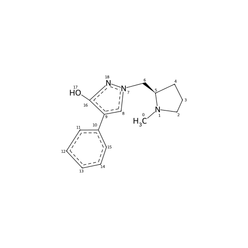 CN1CCC[C@@H]1Cn1cc(-c2ccccc2)c(O)n1